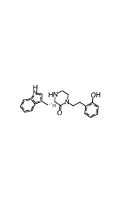 O=C1[C@H](Cc2c[nH]c3ccccc23)NCCN1CCc1ccccc1O